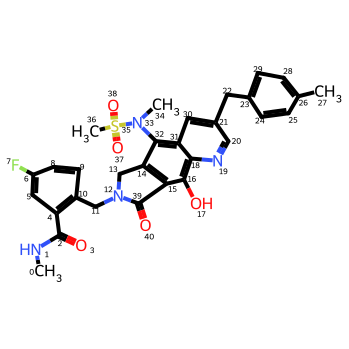 CNC(=O)c1cc(F)ccc1CN1Cc2c(c(O)c3ncc(Cc4ccc(C)cc4)cc3c2N(C)S(C)(=O)=O)C1=O